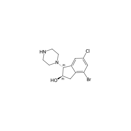 O[C@@H]1Cc2c(Br)cc(Cl)cc2[C@H]1N1CCNCC1